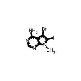 Cn1c(I)c(Br)c2c(N)ncnc21